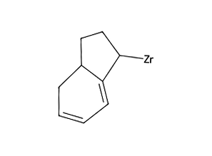 [Zr][CH]1CCC2CC=CC=C12